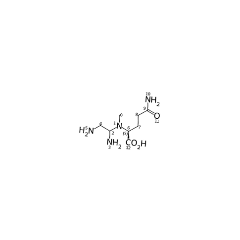 CN(C(N)CN)[C@@H](CCC(N)=O)C(=O)O